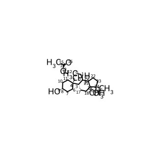 CC[C@@H]1[C@@H]([C@@]2(C)CC[C@H](O)C[C@@H]2COC(C)=O)CC[C@@]2(C)[C@H]1CC[C@]2(C)O